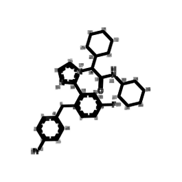 CC(C)c1ccc(Cc2ccc(F)cc2-c2nccn2C(C(=O)NC2CCCCC2)C2CCCCC2)cc1